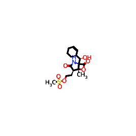 C[C@@]12OC(=O)[C@]1([C@@H](O)[C@@H]1C=CCCC1)NC(=O)[C@@H]2CCOS(C)(=O)=O